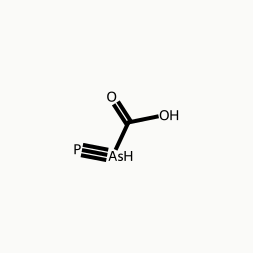 O=C(O)[AsH]#P